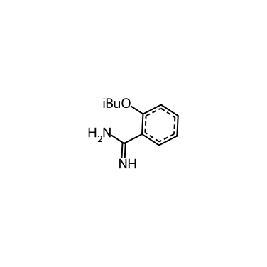 CC(C)COc1ccccc1C(=N)N